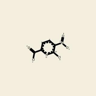 O=C(Cl)c1ccc([N+](=O)[O-])c(Cl)n1